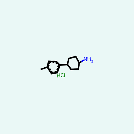 Cc1ccc(C2CCC(N)CC2)cc1.Cl